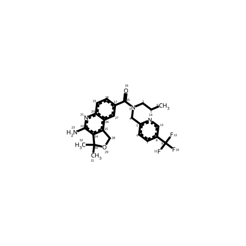 CCCN(Cc1ccc(C(F)(F)F)cn1)C(=O)c1ccc2nc(N)c3c(c2c1)COC3(C)C